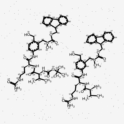 CC(C)[C@H](N)C(=O)N[C@@H](CCCNC(N)=O)C(=O)Nc1ccc(CO)c(CN(C)C(=O)OCC2c3ccccc3-c3ccccc32)c1.CC(C)[C@H](NC(=O)OC(C)(C)C)C(=O)N[C@@H](CCCNC(N)=O)C(=O)Nc1ccc(CO)c(CN(C)C(=O)OCC2c3ccccc3-c3ccccc32)c1